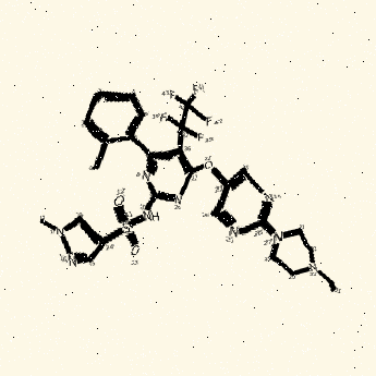 Cc1ccccc1-c1nc(NS(=O)(=O)c2cnn(C)c2)nc(Oc2cnc(N3CCN(C)CC3)nc2)c1C(F)(F)C(F)(F)F